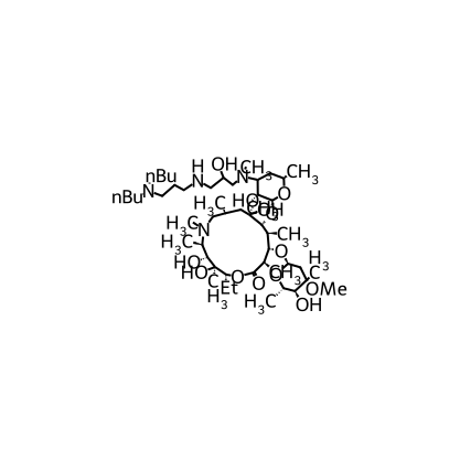 CCCCN(CCCC)CCCNCC(O)CN(C)C1C[C@@H](C)O[C@@H](O[C@@H]2[C@@H](C)[C@H](O[C@H]3C[C@@](C)(OC)[C@@H](O)[C@H](C)O3)[C@@H](C)C(=O)O[C@H](CC)[C@@](C)(O)[C@H](O)[C@@H](C)N(C)C[C@H](C)C[C@@]2(C)O)[C@@H]1O